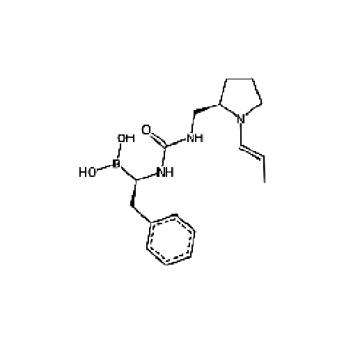 CC=CN1CCC[C@@H]1CNC(=O)N[C@@H](Cc1ccccc1)B(O)O